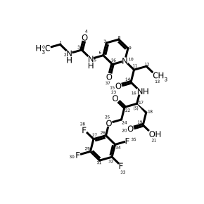 CCNC(=O)Nc1cccn(C(CC)C(=O)N[C@@H](CC(=O)O)C(=O)COc2c(F)c(F)cc(F)c2F)c1=O